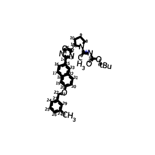 C/C(=N\C(=O)OC(C)(C)C)N1CCC[C@H]1c1nc(-c2ccc3cc(OCc4cccc(C)c4)ccc3c2)no1